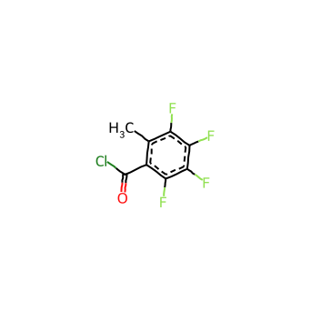 Cc1c(F)c(F)c(F)c(F)c1C(=O)Cl